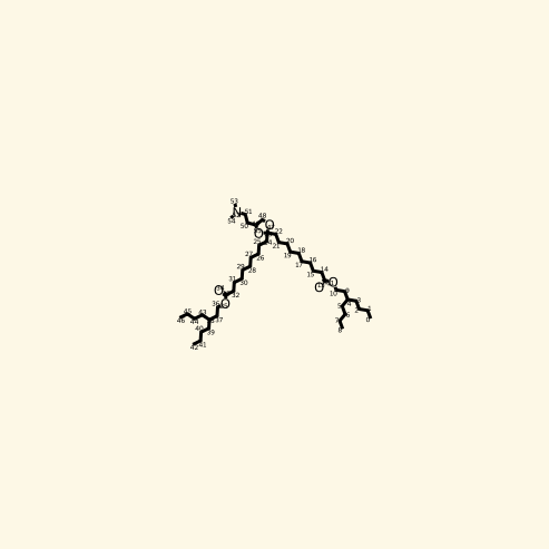 CCCCC(CCCC)CCOC(=O)CCCCCCCCCC1(CCCCCCCCCC(=O)OCCC(CCCC)CCCC)OCC(CCN(C)C)O1